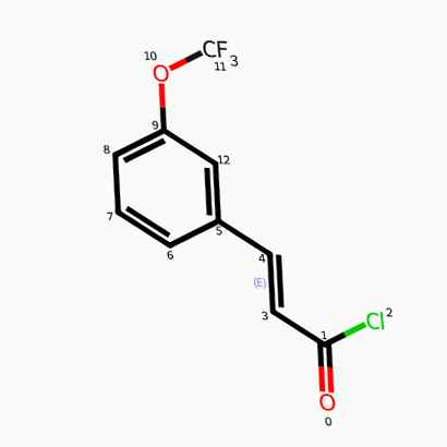 O=C(Cl)/C=C/c1cccc(OC(F)(F)F)c1